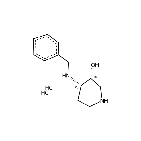 Cl.Cl.O[C@@H]1CNCC[C@@H]1NCc1ccccc1